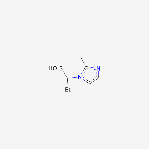 CCC(n1ccnc1C)S(=O)(=O)O